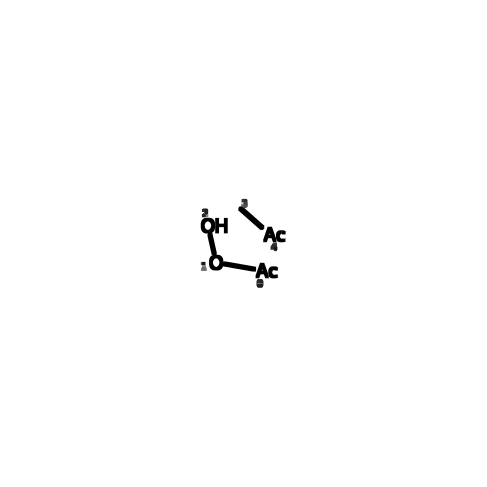 CC(=O)OO.CC(C)=O